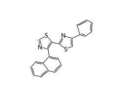 [c]1nc(-c2cccc3ccccc23)c(-c2nc(-c3ccccc3)cs2)s1